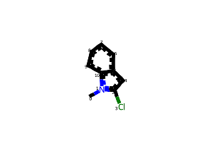 Cn1c(Cl)[c]c2ccccc21